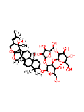 CC(C)=CC1COC23CC4(CO2)C(CCC2C5(C)CCC(OC6OC(CO)C(O)C(OC7OC(CO)C(O)C(O)C7O)C6OC6OC(CO)C(O)C6O)C(C)(C)C5CCC24C)C3C1(C)O